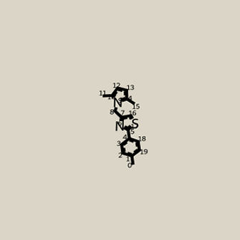 Cc1ccc(-c2nc(Cn3c(C)ccc3C)cs2)cc1